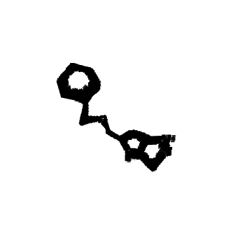 c1ccc(COCc2cc3[nH]ncc3s2)cc1